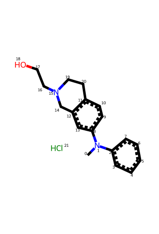 CN(c1ccccc1)c1ccc2c(c1)CN(CCO)CC2.Cl